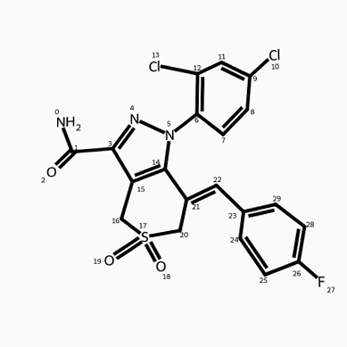 NC(=O)c1nn(-c2ccc(Cl)cc2Cl)c2c1CS(=O)(=O)C/C2=C\c1ccc(F)cc1